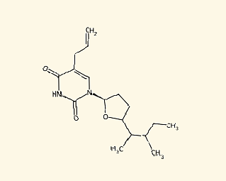 C=CCc1cn([C@H]2CCC(C(C)C(C)CC)O2)c(=O)[nH]c1=O